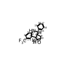 FC(F)(F)c1ccc2c(c1)[C@@H]1[C@@H](CC3O[C@H]31)[C@@H](c1ccccc1)N2